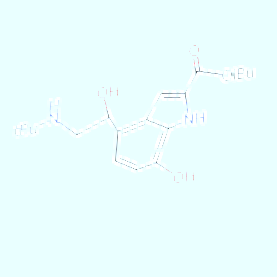 CC(C)COC(=O)c1cc2c(C(O)CNC(C)(C)C)ccc(O)c2[nH]1